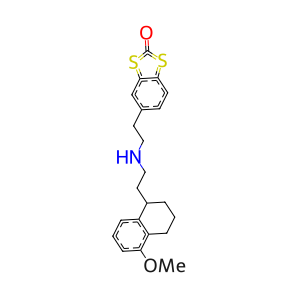 COc1cccc2c1CCCC2CCNCCc1ccc2sc(=O)sc2c1